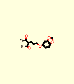 CCC(=O)C(CCCOc1ccc2c(c1)OCO2)C(=O)CC